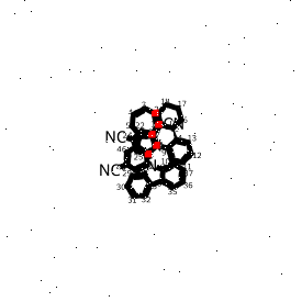 N#CC1=CC=CCc2c1n(-c1ccccc1[C@@H]1CCCCC1c1cc(C#N)cc(-n3c4ccccc4c4ccccc43)c1)c1ccc(C#N)cc21